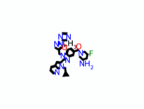 COc1cc(C(=O)N2C[C@H](N)C[C@@H](F)C2)cc2nc(-c3cc4cccnc4n3CC3CC3)n(Cc3cnn(-c4cnccn4)c3)c12